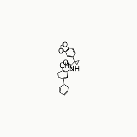 CC1=C(NC(=O)C2(c3ccc4c(c3)OCO4)CC2)C=C(C2C=CC=CC2)CC1